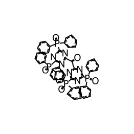 O=C(c1nc(P(=O)(c2ccccc2)c2ccccc2)nc(P(=O)(c2ccccc2)c2ccccc2)n1)c1nc(P(=O)(c2ccccc2)c2ccccc2)nc(P(=O)(c2ccccc2)c2ccccc2)n1